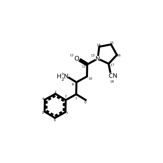 CC(c1ccccc1)C(N)CC(=O)N1CCCC1C#N